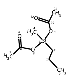 CCC[Si](C)(OC(C)=O)OC(C)=O